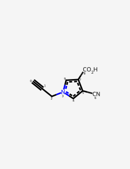 C#CCn1cc(C#N)c(C(=O)O)c1